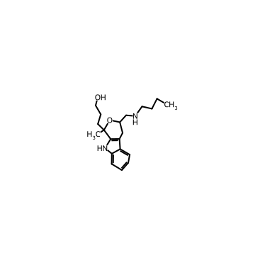 CCCCNCC1Cc2c([nH]c3ccccc23)C(C)(CCCO)O1